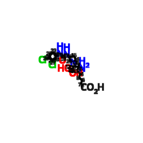 CC(N)(CCCCCC(=O)O)C(B(O)O)N1CCC(NC(=O)Nc2ccc(Cl)c(Cl)c2)C1